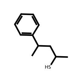 CC(S)CC(C)c1ccccc1